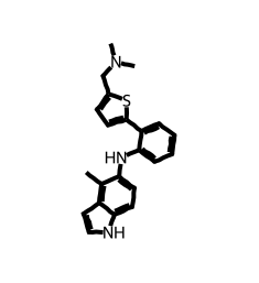 Cc1c(Nc2ccccc2-c2ccc(CN(C)C)s2)ccc2[nH]ccc12